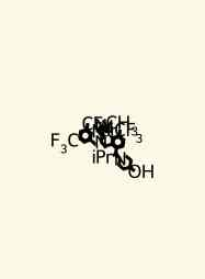 CC(C)C(c1ccc(C(F)(F)F)cc1CN(Cc1cc(C(F)(F)F)cc(C(F)(F)F)c1)c1nnn(C)n1)N1CCC(O)CC1